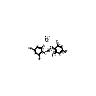 Fc1cc(F)c([O][Zr+2][O]c2c(F)cc(F)cc2F)c(F)c1.[Cl-].[Cl-]